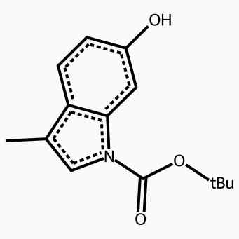 Cc1cn(C(=O)OC(C)(C)C)c2cc(O)ccc12